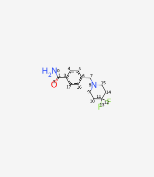 NC(=O)c1ccc(CN2CCC(F)(F)CC2)cc1